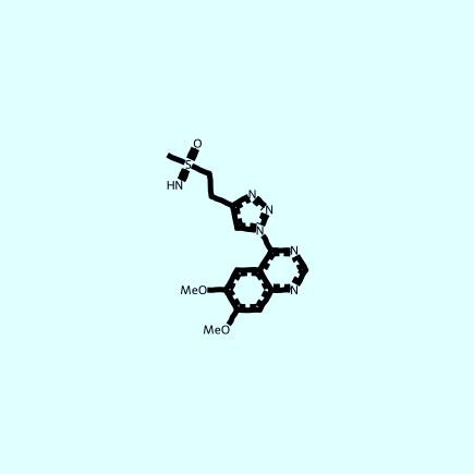 COc1cc2ncnc(-n3cc(CCS(C)(=N)=O)nn3)c2cc1OC